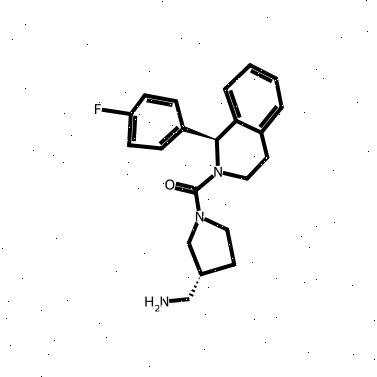 NC[C@H]1CCN(C(=O)N2CCc3ccccc3[C@@H]2c2ccc(F)cc2)C1